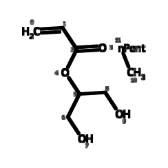 C=CC(=O)OC(CO)CO.CCCCCC